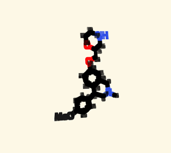 COc1ccc(C2CN(C)Cc3cc(OC[C@@H]4CNCCO4)ccc32)cc1